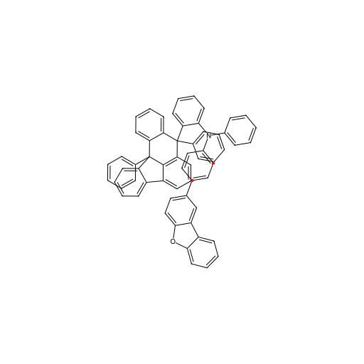 c1ccc(N(c2ccc(-c3ccc4oc5ccccc5c4c3)cc2)c2ccccc2C2(c3ccccc3)c3ccccc3C3(c4ccccc4)c4ccccc4-c4cccc2c43)cc1